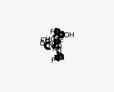 C#Cc1c(F)ccc2cc(O)cc(-c3ncc4c(N5CCCC(OC)CC5)nc(OC[C@@]56CCCN5C[C@H](F)C6)nc4c3F)c12